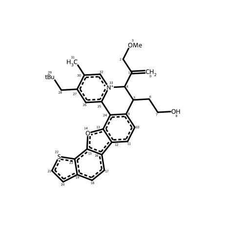 C=C(COC)C1C(CCO)c2ccc3c(oc4c3ccc3ccsc34)c2-c2cc(CC(C)(C)C)c(C)c[n+]21